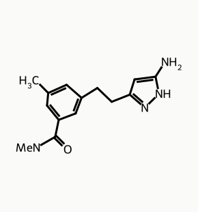 CNC(=O)c1cc(C)cc(CCc2cc(N)[nH]n2)c1